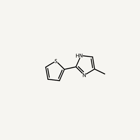 Cc1c[nH]c(-c2cccs2)n1